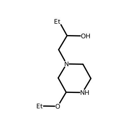 CCOC1CN(CC(O)CC)CCN1